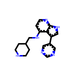 c1ncc(-c2c[nH]c3nccc(NCC4CCNCC4)c23)cn1